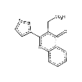 O=C(O)Cc1c(-c2ccsc2)oc2ccccc2c1=O